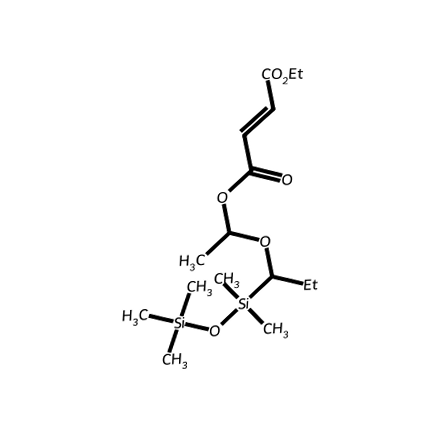 CCOC(=O)/C=C/C(=O)OC(C)OC(CC)[Si](C)(C)O[Si](C)(C)C